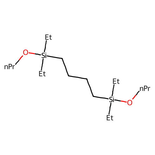 CCCO[Si](CC)(CC)CCCC[Si](CC)(CC)OCCC